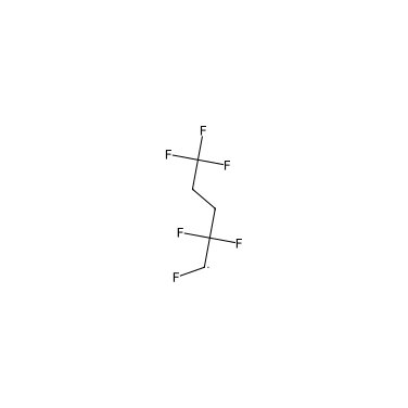 F[CH]C(F)(F)CCC(F)(F)F